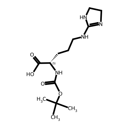 CC(C)(C)OC(=O)N[C@@H](CCCNC1=NCCN1)C(=O)O